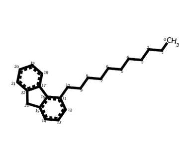 CCCCCCCCCCCc1cc[c]c2c1-c1ccccc1C2